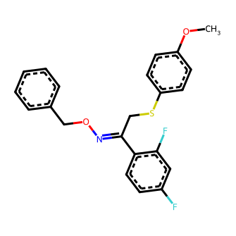 COc1ccc(SC/C(=N\OCc2ccccc2)c2ccc(F)cc2F)cc1